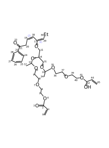 C=CC(=O)OCCOCCOC(C)OC(COC(/C=C\CC(=O)c1ccccc1)=C/CC)COC(C)OCCOCCOC(O)C=C